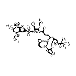 CCN[C@@H]1C[C@@H](C)S(=O)(=O)c2sc(S(=O)(=O)NC(=O)C(C)OC(=O)CCC(=O)OC(CNC(C)(C)C)COc3nsnc3N3CCOCC3)cc21